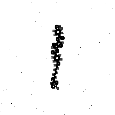 C=CC(=O)OCCCCCCOc1ccc(C(=O)O[C@H]2COC3C2OC[C@H]3OC(=O)c2ccc(C)cc2)cc1